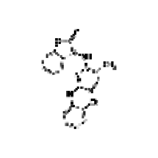 CCc1ccccc1Nc1ncc(C)c(Nn2c(=O)oc3ccccc32)n1